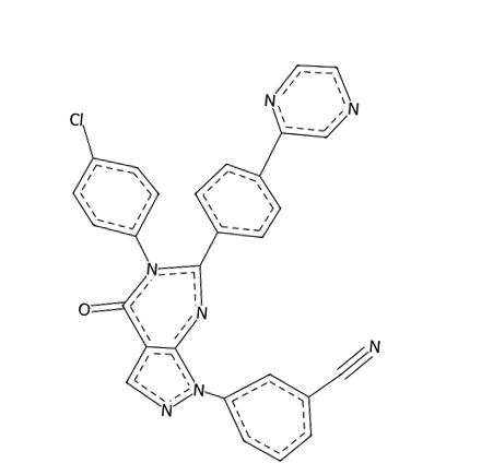 N#Cc1cccc(-n2ncc3c(=O)n(-c4ccc(Cl)cc4)c(-c4ccc(-c5cnccn5)cc4)nc32)c1